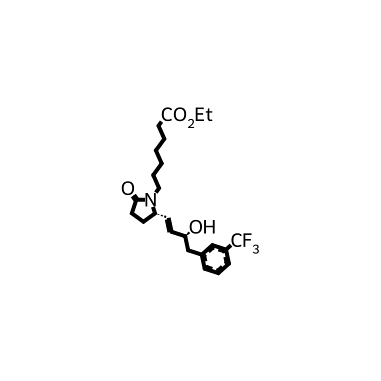 CCOC(=O)CCCCCCN1C(=O)CC[C@H]1C=C[C@H](O)Cc1cccc(C(F)(F)F)c1